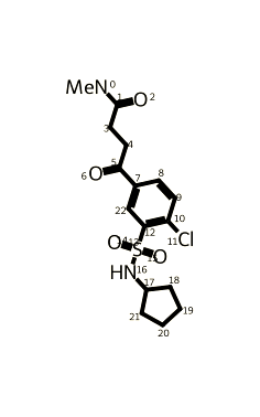 CNC(=O)CCC(=O)c1ccc(Cl)c(S(=O)(=O)NC2CCCC2)c1